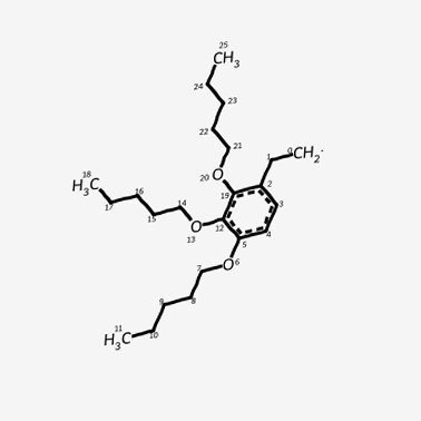 [CH2]Cc1ccc(OCCCCC)c(OCCCCC)c1OCCCCC